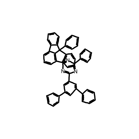 c1ccc(-c2cc(-c3ccccc3)cc(-c3nc(-c4ccccc4)nc(-c4cccc5c4C(c4ccccc4)(c4ccccc4)c4ccccc4-5)n3)c2)cc1